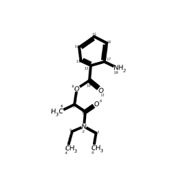 CCN(CC)C(=O)C(C)OC(=O)c1ccccc1N